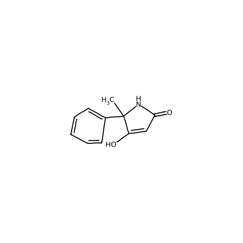 CC1(c2ccccc2)NC(=O)C=C1O